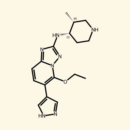 CCOc1c(-c2cn[nH]c2)ccc2nc(N[C@H]3CCNC[C@H]3C)nn12